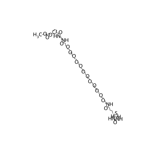 CCOC(=O)COc1cccc(C(=O)NCCNC(=O)CCOCCOCCOCCOCCOCCOCCOCCOCCOCCOCCOCCOCCNC(=O)CCCC[C@@H]2SC[C@@H]3NC(=O)N[C@@H]32)c1